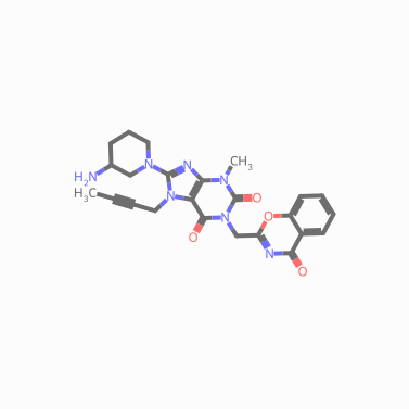 CC#CCn1c(N2CCCC(N)C2)nc2c1c(=O)n(Cc1nc(=O)c3ccccc3o1)c(=O)n2C